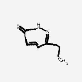 CCc1[c]cc(=O)[nH]n1